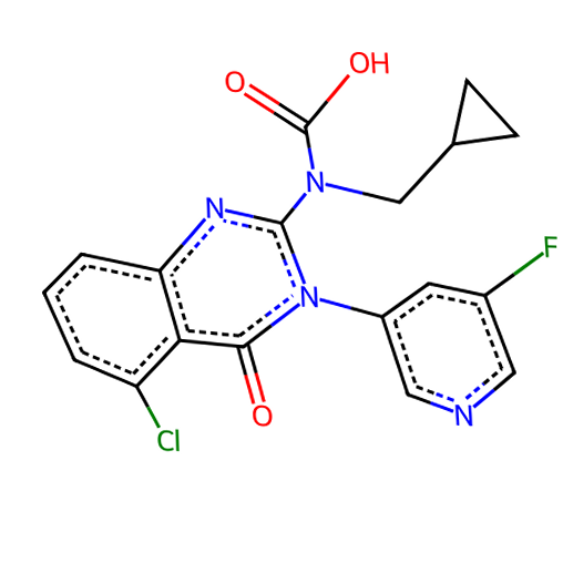 O=C(O)N(CC1CC1)c1nc2cccc(Cl)c2c(=O)n1-c1cncc(F)c1